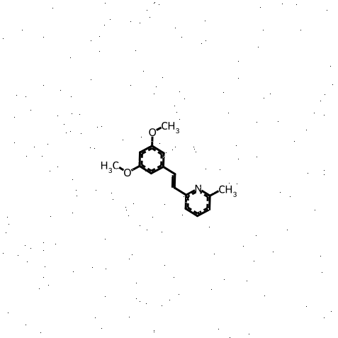 COc1cc(C=Cc2cccc(C)n2)cc(OC)c1